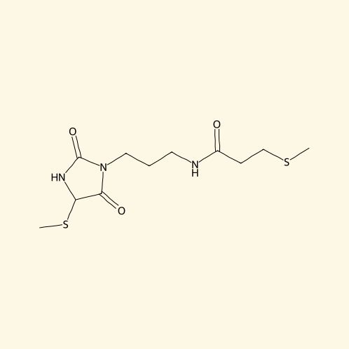 CSCCC(=O)NCCCN1C(=O)NC(SC)C1=O